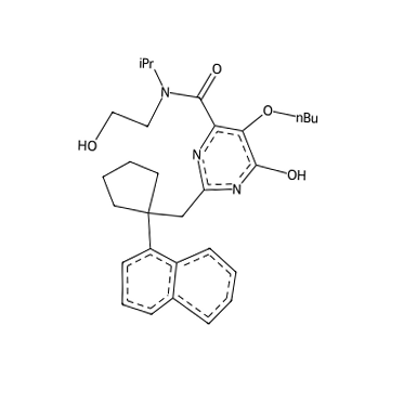 CCCCOc1c(O)nc(CC2(c3cccc4ccccc34)CCCC2)nc1C(=O)N(CCO)C(C)C